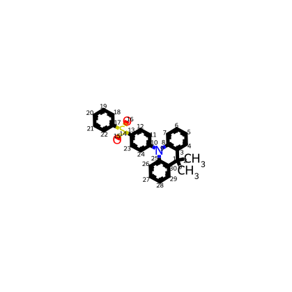 CC1(C)c2ccccc2N(c2ccc(S(=O)(=O)c3ccccc3)cc2)c2ccccc21